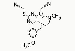 COc1ccc2c(c1)CC1(CCN(C)CC1)c1c(OCC#N)nc(SCC#N)nc1-2